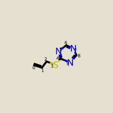 C=CCSc1ncncn1